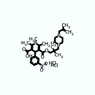 C=C(C)CN1CCN(CC(C)(C)COC(=O)C2=C(C)N(C)C(C)=C(C(=O)O)C2c2cccc([N+](=O)[O-])c2)CC1.Cl.Cl